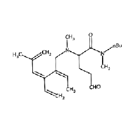 C=CC(=C/C(=C)C)/C(=C\C)CN(C)C(CCC=O)C(=O)N(C)CCCC